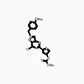 COC(=O)Oc1csc(-c2nc(Cl)c3nn(Cc4ccc(OC)cc4)cc3n2)c1